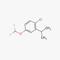 CC(C)c1cc(OC(F)F)ccc1Cl